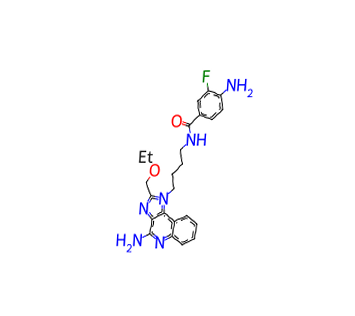 CCOCc1nc2c(N)nc3ccccc3c2n1CCCCNC(=O)c1ccc(N)c(F)c1